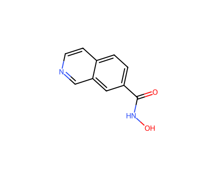 O=C(NO)c1ccc2ccncc2c1